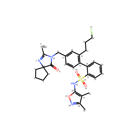 CCCCC1=NC2(CCCC2)C(=O)N1Cc1ccc(-c2ccccc2S(=O)(=O)Nc2onc(C)c2C)c(CCCF)c1